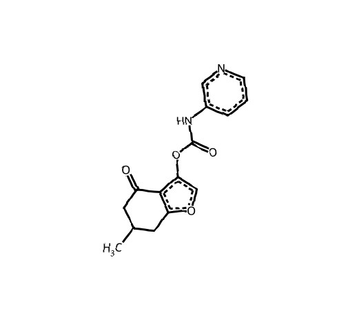 CC1CC(=O)c2c(OC(=O)Nc3cccnc3)coc2C1